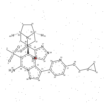 CS(=O)(=O)c1c([C@H]2C[C@H]3CC[C@@H](C2)N3C(=O)c2nnc[nH]2)nc2c(-c3ccc(OCC4CC4)nc3)cnn2c1N